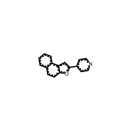 c1ccc2c(c1)ccc1oc(-c3ccncc3)cc12